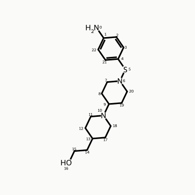 Nc1ccc(SN2CCC(N3CCC(CCO)CC3)CC2)cc1